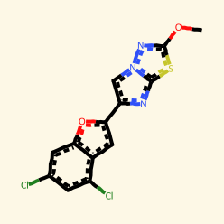 COc1nn2cc(-c3cc4c(Cl)cc(Cl)cc4o3)nc2s1